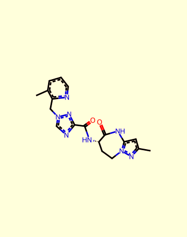 Cc1cc2n(n1)CC[C@H](NC(=O)c1ncn(Cc3ncccc3C)n1)C(=O)N2